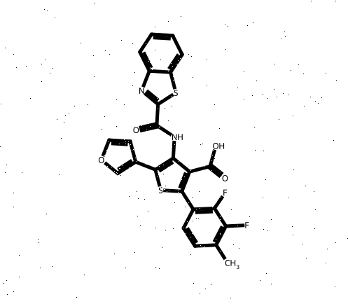 Cc1ccc(-c2sc(-c3ccoc3)c(NC(=O)c3nc4ccccc4s3)c2C(=O)O)c(F)c1F